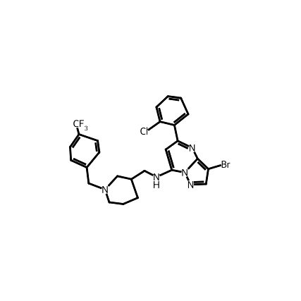 FC(F)(F)c1ccc(CN2CCCC(CNc3cc(-c4ccccc4Cl)nc4c(Br)cnn34)C2)cc1